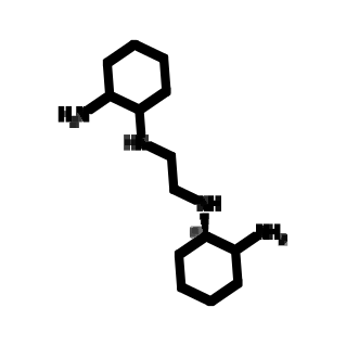 NC1CCCCC1NCCN[C@H]1CCCCC1N